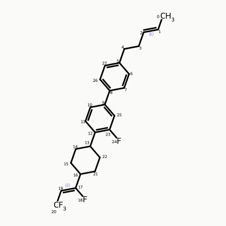 C/C=C/CCc1ccc(-c2ccc(C3CCC(/C(F)=C/C(F)(F)F)CC3)c(F)c2)cc1